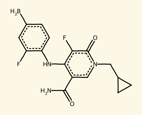 Bc1ccc(Nc2c(C(N)=O)cn(CC3CC3)c(=O)c2F)c(F)c1